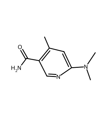 Cc1cc(N(C)C)ncc1C(N)=O